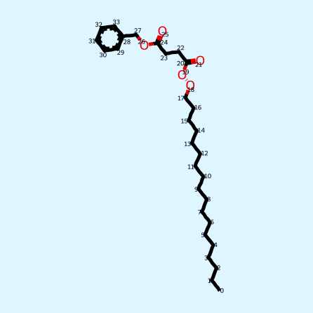 CCCCCCCCCCCCCCCCCCOOC(=O)CCC(=O)OCc1ccccc1